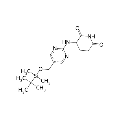 CC(C)(C)[Si](C)(C)OCc1cnc(NC2CCC(=O)NC2=O)nc1